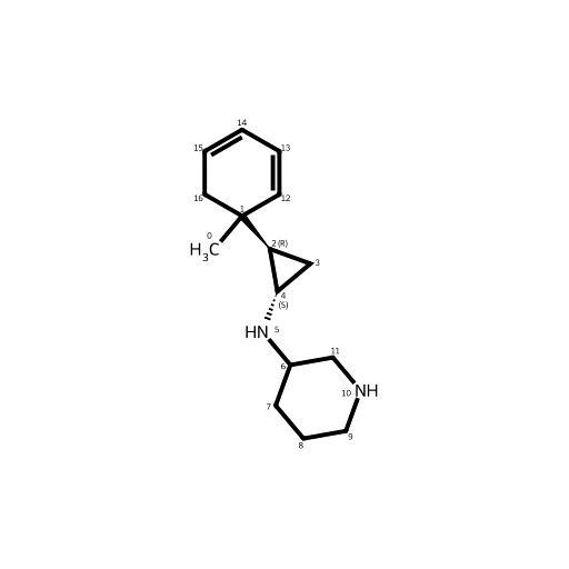 CC1([C@H]2C[C@@H]2NC2CCCNC2)C=CC=CC1